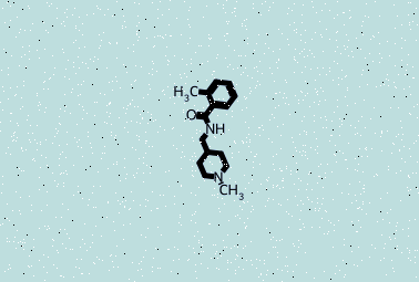 Cc1ccccc1C(=O)NCC1CCN(C)CC1